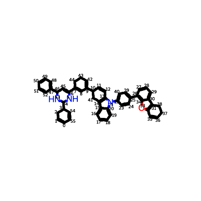 C1=CCC(C2NC(C3=CC(C4C=Cc5c(c6ccccc6n5-c5ccc(-c6cccc7c8c(oc67)C=CCC8)cc5)C4)=CCC3)=CC(c3ccccc3)N2)C=C1